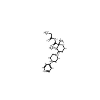 CCC(=O)OC(=O)C1(N)CCCC(N2CCN(c3ccncc3)CC2)C1C